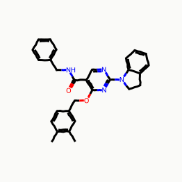 Cc1ccc(COc2nc(N3CCc4ccccc43)ncc2C(=O)NCc2ccccc2)cc1C